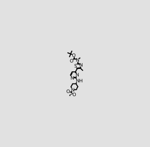 Cc1nc(N(C)C(=O)OC(C)(C)C)sc1-c1ccnc(NC2CCN(S(C)(=O)=O)CC2)n1